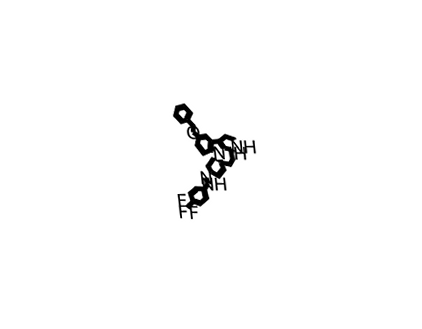 FC(F)(F)c1ccc(N/N=C2\C=C[C@@]3(CC2)CC[C@@H]2NCCc4c2n3c2ccc(OCc3ccccc3)cc42)cc1